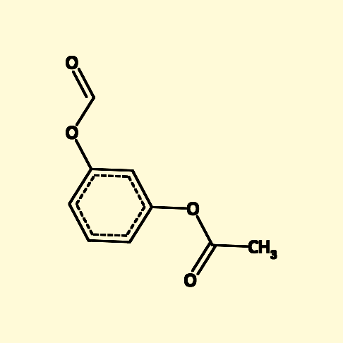 CC(=O)Oc1cccc(OC=O)c1